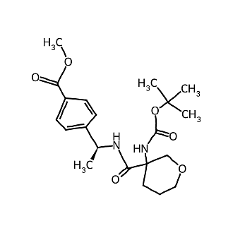 COC(=O)c1ccc([C@H](C)NC(=O)C2(NC(=O)OC(C)(C)C)CCCOC2)cc1